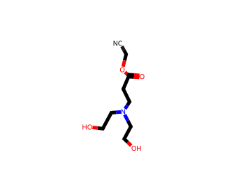 N#CCOC(=O)CCN(CCO)CCO